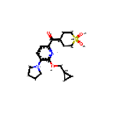 O=C(c1ccc(N2CCCC2)c(OCC2CC2)n1)C1CCS(=O)(=O)CC1